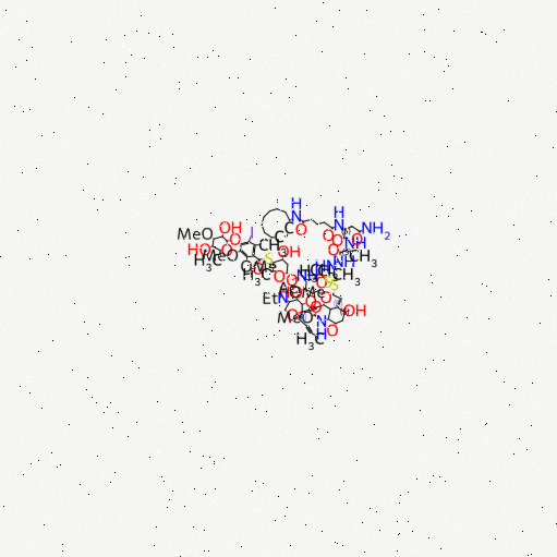 CC#C/C=C\C#CC(OC1OC(C)C(NOC2CC(O)C(SC(=O)c3c(C)c(I)c(OC4OC(C)C(O)C(OC)C4O)c(OC)c3OC)C(C)O2)C(O)C1OC1COCC(N(CC)C(C)=O)C1OC)C1/C(=C\CSSC(C)(C)NNC(=O)[C@H](C)NC(=O)[C@H](CC(N)=O)NC(=O)CCCC(=O)NC2CCCCCCCCCC2)[C@@H](O)CC(=O)C1NC(=O)OC